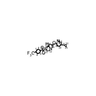 O=S(=O)(c1ccc(C(F)(F)F)cc1)N1CCN2C[C@H](Oc3ccc(C4CC4)nn3)C[C@H]2C1